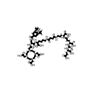 CC(C)(C)S(F)(c1ccc(C(=O)NCC(NC(=O)CN2CCN(CC(=O)O)CCN(CC(=O)O)CCN(CC(=O)O)CC2)C(=O)NC(CCCCNC(=O)CCC(=O)NCCC[C@@H](NC(=O)CC[C@H](NC(=O)N[C@@H](CCC(=O)O)C(=O)O)C(=O)O)C(=O)O)C(=O)O)cc1)C(C)(C)C